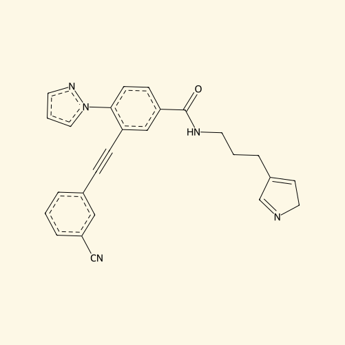 N#Cc1cccc(C#Cc2cc(C(=O)NCCCC3=CCN=C3)ccc2-n2cccn2)c1